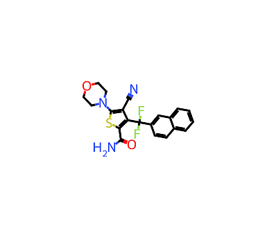 N#Cc1c(N2CCOCC2)sc(C(N)=O)c1C(F)(F)c1ccc2ccccc2c1